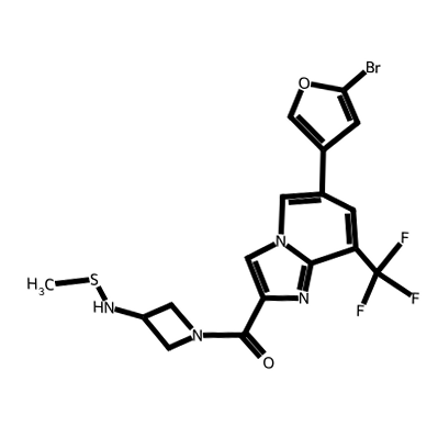 CSNC1CN(C(=O)c2cn3cc(-c4coc(Br)c4)cc(C(F)(F)F)c3n2)C1